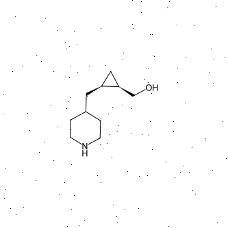 OC[C@@H]1C[C@@H]1CC1CCNCC1